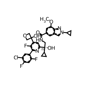 COc1cc(C(=O)NC[C@](O)(c2cc(C3(O)COC3)c(F)c(-c3cc(Cl)c(F)cc3F)n2)C2CC2)cc2cn(C3CC3)nc12